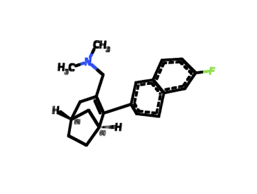 CN(C)CC1=C(c2ccc3cc(F)ccc3c2)[C@H]2CC[C@H](C1)C2